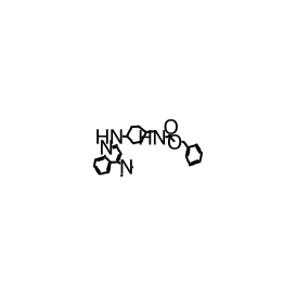 CN(C)c1cc(NC2CCC(CNC(=O)OCc3ccccc3)CC2)nc2ccccc12